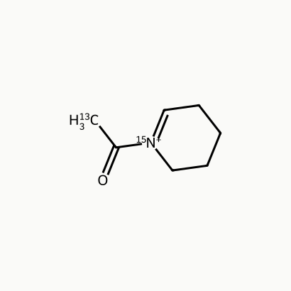 [13CH3]C(=O)[15N+]1=CCCCC1